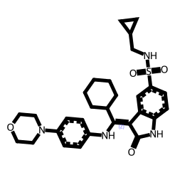 O=C1Nc2ccc(S(=O)(=O)NCC3CC3)cc2/C1=C(/Nc1ccc(N2CCOCC2)cc1)C1CCCCC1